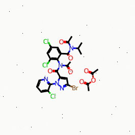 CC(=O)N(C(=O)c1cc(Br)nn1-c1ncccc1Cl)c1c(Cl)cc(Cl)cc1C(=O)N(C(C)=O)C(C)C.CC(=O)OC(C)=O